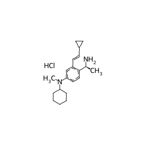 C[C@H](N)c1ccc(N(C)C2CCCCC2)cc1/C=C/C1CC1.Cl